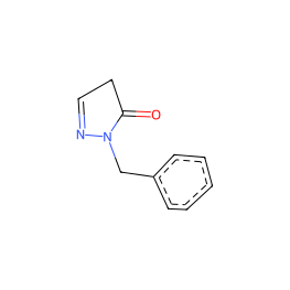 O=C1CC=NN1Cc1ccccc1